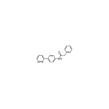 O=C(Cc1ccccc1)Nc1ccc(-c2cccnn2)cc1